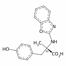 C[C@@](Cc1ccc(O)cc1)(Nc1nc2ccccc2o1)C(=O)O